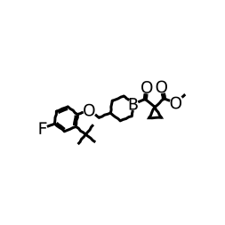 COC(=O)C1(C(=O)B2CCC(COc3ccc(F)cc3C(C)(C)C)CC2)CC1